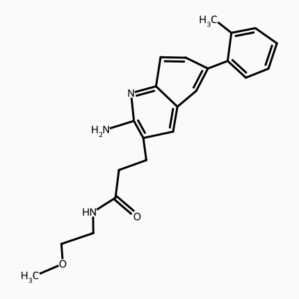 COCCNC(=O)CCc1cc2cc(-c3ccccc3C)ccc2nc1N